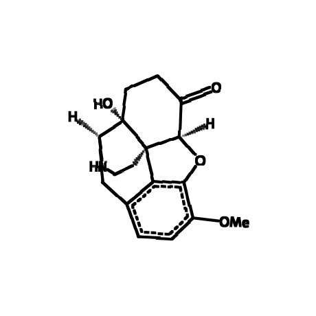 COc1ccc2c3c1O[C@@H]1C(=O)CC[C@]4(O)[C@H](C2)NCC[C@@]314